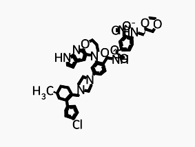 C[C@H]1CCC(CN2CCN(c3ccc(C(=O)NS(=O)(=O)c4ccc(NC[C@H]5COCCO5)c([N+](=O)[O-])c4)c(N4CCCOc5nc6[nH]ccc6cc54)c3)CC2)=C(c2ccc(Cl)cc2)C1